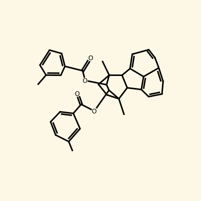 Cc1cccc(C(=O)OC2C(OC(=O)c3cccc(C)c3)C3(C)CCC2(C)C2c4cccc5cccc(c45)C23)c1